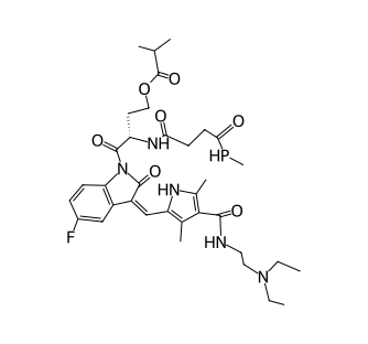 CCN(CC)CCNC(=O)c1c(C)[nH]c(/C=C2\C(=O)N(C(=O)[C@H](CCOC(=O)C(C)C)NC(=O)CCC(=O)PC)c3ccc(F)cc32)c1C